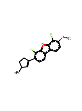 CCCC1C=C(c2ccc3c(oc4c(F)c(OCC)ccc43)c2F)CC1